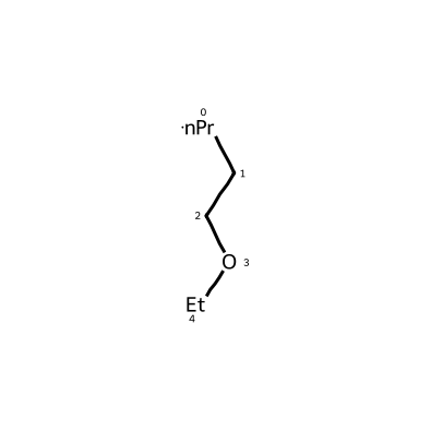 CC[CH]CCOCC